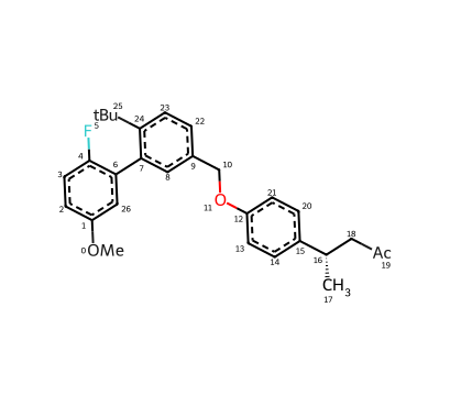 COc1ccc(F)c(-c2cc(COc3ccc([C@@H](C)CC(C)=O)cc3)ccc2C(C)(C)C)c1